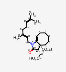 CCOC(=O)[C@@]12CCCCC/C=C\1N(C/C=C(\C)CCC=C(C)C)C(=O)[C@H]2CC(=O)O